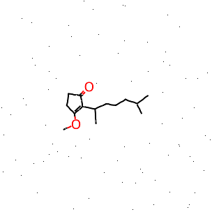 COC1=C(C(C)CCCC(C)C)C(=O)CC1